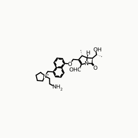 C[C@@H](O)[C@H]1C(=O)N2C(C=O)=C(COc3cccc4c(C[N+]5(CCN)CCCC5)cccc34)[C@H](C)[C@H]12